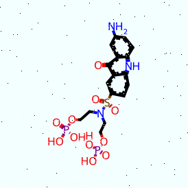 Nc1ccc2[nH]c3ccc(S(=O)(=O)N(CCOP(=O)(O)O)CCOP(=O)(O)O)cc3c(=O)c2c1